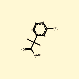 COC(=O)C(C)(C)c1cccc(C(F)(F)F)c1